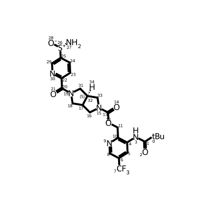 CC(C)(C)C(=O)Nc1cc(C(F)(F)F)cnc1COC(=O)N1CC2CN(C(=O)c3ccc([S+](N)[O-])cn3)C[C@H]2C1